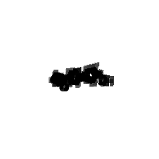 O=c1ncccn1-c1ccc(N2CCC(CO)CC2)nc1